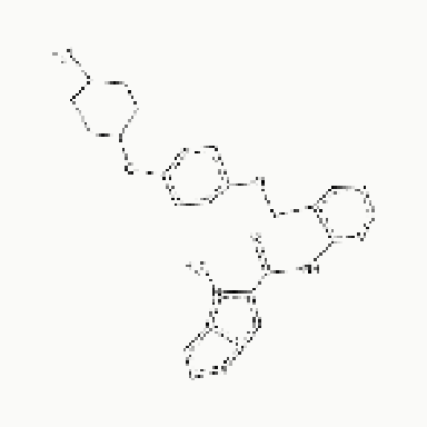 Cn1c(C(=O)Nc2ccccc2COc2ccc(OC3CCC(N)CC3)cc2)cc2sccc21